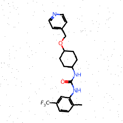 Cc1ccc(C(F)(F)F)cc1NC(=O)NC1CCC(OCc2ccncc2)CC1